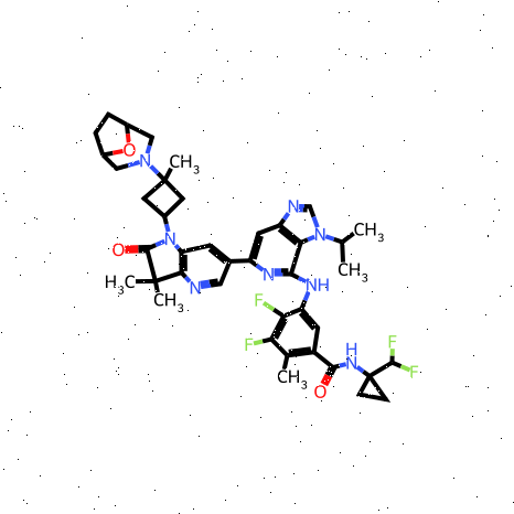 Cc1c(C(=O)NC2(C(F)F)CC2)cc(Nc2nc(-c3cnc4c(c3)N(C3CC(C)(N5CC6CCC(C5)O6)C3)C(=O)C4(C)C)cc3ncn(C(C)C)c23)c(F)c1F